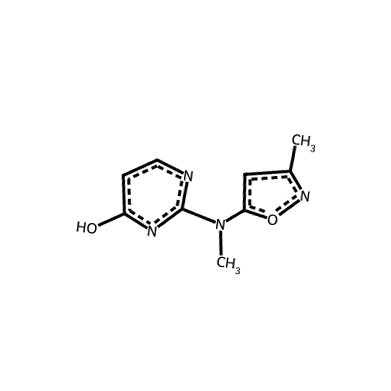 Cc1cc(N(C)c2nccc(O)n2)on1